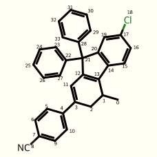 CC1CC(c2ccc(C#N)cc2)=CC2=C1c1ccc(Cl)cc1C2(c1ccccc1)c1ccccc1